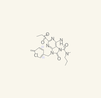 C=C(Cl)/C=C\C(=C/C)Cn1c(=O)n(C(=O)N(C)CCC)c2c(N)nc(S(=O)(=O)CC)nc21